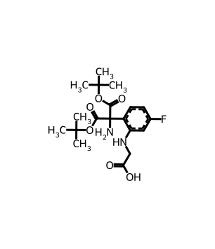 CC(C)(C)OC(=O)C(N)(C(=O)OC(C)(C)C)c1ccc(F)cc1NCC(=O)O